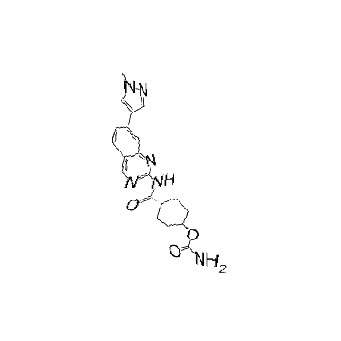 Cn1cc(-c2ccc3cnc(NC(=O)[C@H]4CC[C@H](OC(N)=O)CC4)nc3c2)cn1